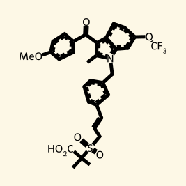 COc1ccc(C(=O)c2c(C)n(Cc3cccc(C=CCS(=O)(=O)C(C)(C)C(=O)O)c3)c3cc(OC(F)(F)F)ccc23)cc1